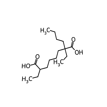 CCCCC(CC)(CCCCC(CC)C(=O)O)C(=O)O